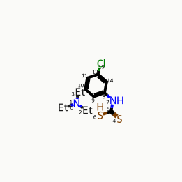 CCN(CC)CC.S=C(S)Nc1cccc(Cl)c1